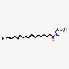 CCC=CCC=CCC=CCCCCCCCC(=O)N(C)CC(=O)O